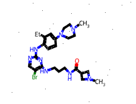 CCc1cc(N2CCN(C)CC2)ccc1Nc1ncc(Br)c(NCCCNC(=O)C2CN(C)C2)n1